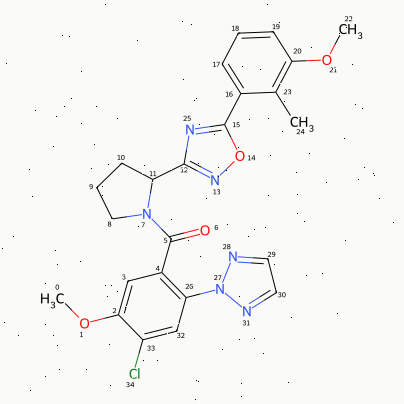 COc1cc(C(=O)N2CCCC2c2noc(-c3cccc(OC)c3C)n2)c(-n2nccn2)cc1Cl